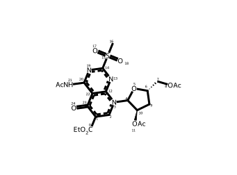 CCOC(=O)c1cn(C2O[C@H](COC(C)=O)C[C@H]2OC(C)=O)c2nc(S(C)(=O)=O)nc(NC(C)=O)c2c1=O